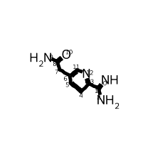 N=C(N)c1ccc(CC(N)=O)cn1